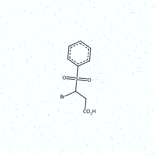 O=C(O)CC(Br)S(=O)(=O)c1ccccc1